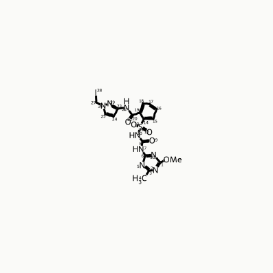 COc1nc(C)nc(NC(=O)NS(=O)(=O)c2ccccc2C(=O)Nc2ccn(CI)n2)n1